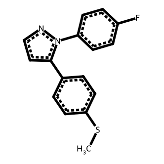 CSc1ccc(-c2ccnn2-c2ccc(F)cc2)cc1